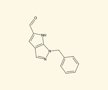 O=Cc1cc2cnn(Cc3ccccc3)c2[nH]1